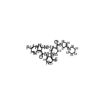 Nc1nn2cc(F)cnc2c1C(=O)Nc1cncc(F)c1N1CCC(C(=O)N2CCC(N3CCCCC3)C2)CC1